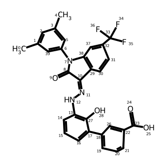 Cc1cc(C)cc(N2C(=O)C(=NNc3cccc(-c4cccc(C(=O)O)c4)c3O)c3ccc(C(F)(F)F)cc32)c1